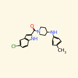 Cc1ccc(NC2CCN(C(=O)c3cc4cc(Cl)ccc4[nH]3)CC2)cc1